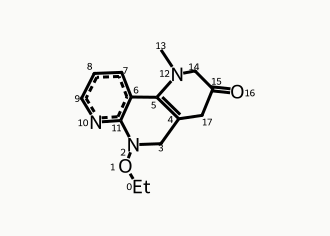 CCON1CC2=C(c3cccnc31)N(C)CC(=O)C2